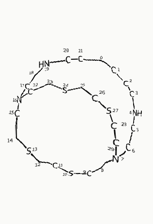 C1CCCNCCN2CCSCCSCCN(CCNCC1)CCSCCSCC2